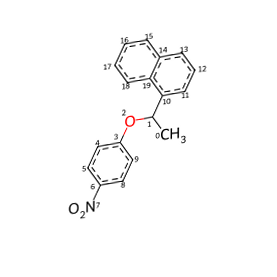 CC(Oc1ccc([N+](=O)[O-])cc1)c1cccc2ccccc12